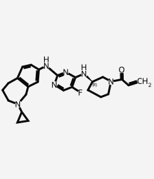 C=CC(=O)N1CCC[C@@H](Nc2nc(Nc3ccc4c(c3)CN(C3CC3)CCC4)ncc2F)C1